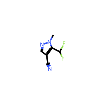 Cn1ncc(C#N)c1C(F)F